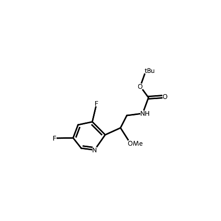 COC(CNC(=O)OC(C)(C)C)c1ncc(F)cc1F